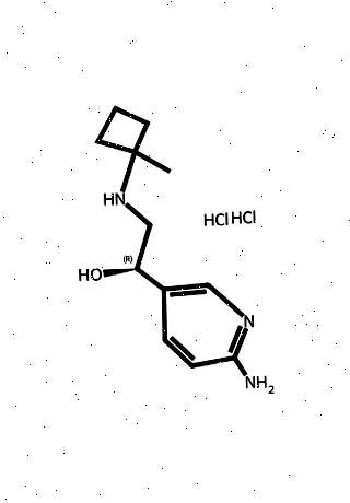 CC1(NC[C@H](O)c2ccc(N)nc2)CCC1.Cl.Cl